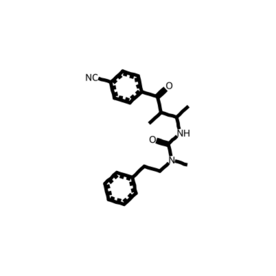 CC(NC(=O)N(C)CCc1ccccc1)C(C)C(=O)c1ccc(C#N)cc1